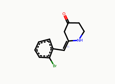 O=C1CCN/C(=C/c2ccccc2Br)C1